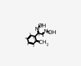 C=C1C=CC=CC1C(C=NO)=NO